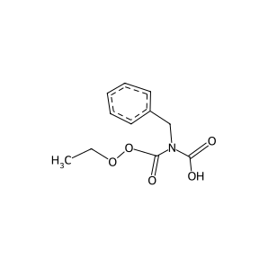 CCOOC(=O)N(Cc1ccccc1)C(=O)O